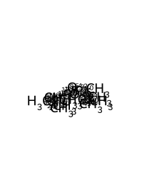 CC(=Cc1ccc(S(=O)(=O)c2ccc(C=C(C)c3ccc4c(c3)C(C)(C)CCC4(C)C)cc2)cc1)c1ccc2c(c1)C(C)(C)CCC2(C)C